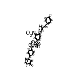 Cc1ccnc(-c2ccc(C(=O)NS(=O)(=O)c3ccc(NCCSc4ccccc4)c([N+](=O)[O-])c3)cc2)c1